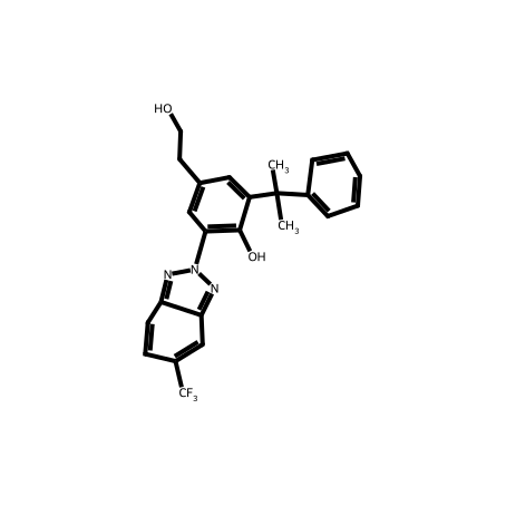 CC(C)(c1ccccc1)c1cc(CCO)cc(-n2nc3ccc(C(F)(F)F)cc3n2)c1O